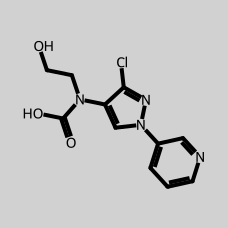 O=C(O)N(CCO)c1cn(-c2cccnc2)nc1Cl